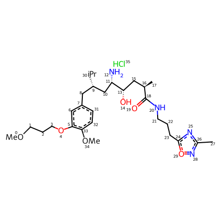 COCCCOc1cc(C[C@@H](C[C@H](N)[C@@H](O)C[C@@H](C)C(=O)NCCCc2nc(C)no2)C(C)C)ccc1OC.Cl